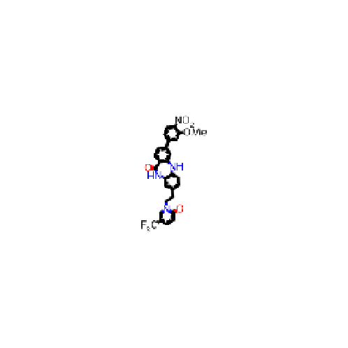 COc1cc(-c2ccc3c(c2)Nc2ccc(CCn4cc(C(F)(F)F)ccc4=O)cc2NC3=O)ccc1[N+](=O)[O-]